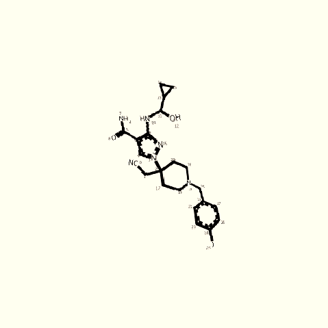 N#CCC1(n2cc(C(N)=O)c(NC(O)C3CC3)n2)CCN(Cc2ccc(I)cc2)CC1